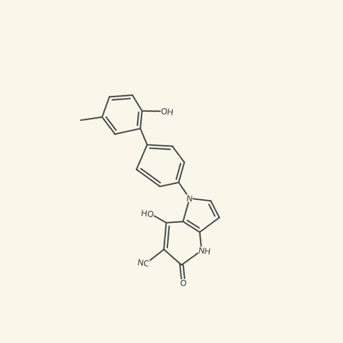 Cc1ccc(O)c(-c2ccc(-n3ccc4[nH]c(=O)c(C#N)c(O)c43)cc2)c1